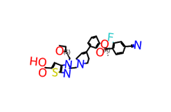 C[C@@]1(c2ccc(C#N)cc2F)Oc2cccc(C3=CCN(Cc4nc5sc(C(=O)O)cc5n4C[C@@H]4CCO4)CC3)c2O1